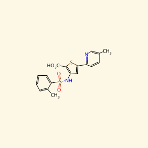 Cc1ccc(-c2cc(NS(=O)(=O)c3ccccc3C)c(C(=O)O)s2)nc1